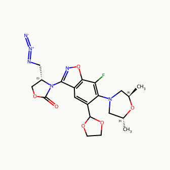 C[C@@H]1CN(c2c(C3OCCO3)cc3c(N4C(=O)OC[C@@H]4CN=[N+]=[N-])noc3c2F)C[C@@H](C)O1